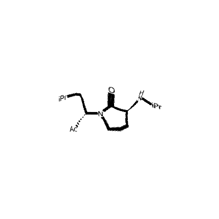 CC(=O)[C@H](CC(C)C)N1CC[C@H](NC(C)C)C1=O